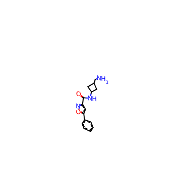 NCC1CC(NC(=O)c2cc(-c3ccccc3)on2)C1